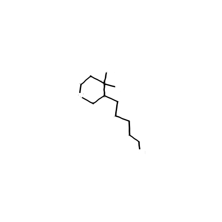 CCCCCCC1CNCCC1(C)C